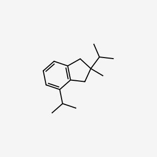 CC(C)c1cccc2c1CC(C)(C(C)C)C2